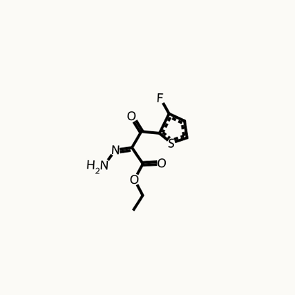 CCOC(=O)/C(=N\N)C(=O)c1sccc1F